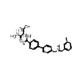 Cc1cccc(CNCc2ccc(-c3ccc(C(=O)N[C@H](C(=O)NO)[C@@H](C)O)cc3)cc2)c1